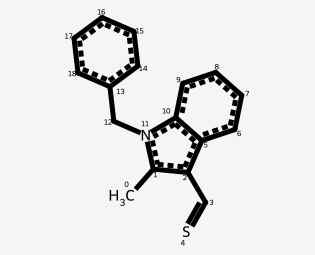 Cc1c(C=S)c2ccccc2n1Cc1ccccc1